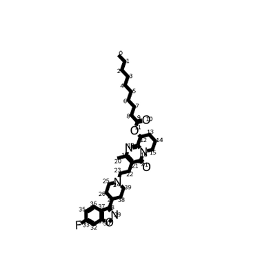 CCCCCCCCCC(=O)OC1CCCn2c1nc(C)c(CCN1CCC(c3noc4cc(F)ccc34)CC1)c2=O